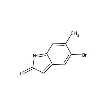 Cc1cc2c(cc1Br)=CC(=O)N=2